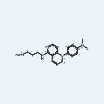 CNCCCNc1nccc2c1C=CCN2c1ccc(N(C)C)cc1